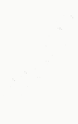 O=C(COc1ccc(-n2ccnc2)cc1)Nc1nc2ccccc2s1